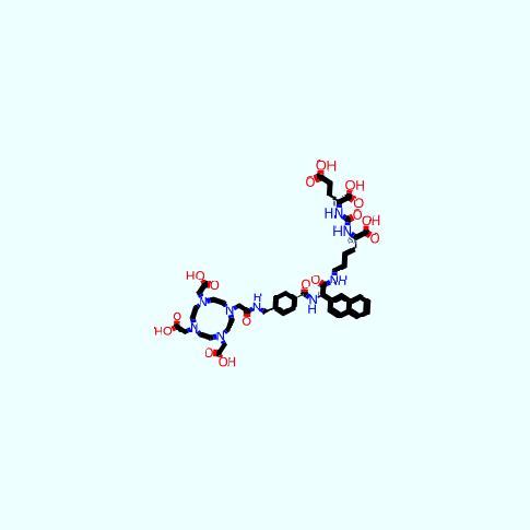 O=C(O)CC[C@H](NC(=O)N[C@@H](CCCCNC(=O)[C@@H](NC(=O)[C@H]1CC[C@H](CNC(=O)CN2CCN(CC(=O)O)CCN(CC(=O)O)CCN(CC(=O)O)CC2)CC1)c1ccc2ccccc2c1)C(=O)O)C(=O)O